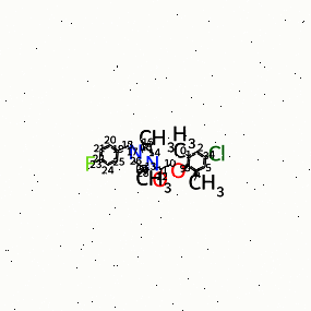 Cc1cc(Cl)cc(C)c1OCC(=O)N1C[C@@H](C)N(Cc2ccc(F)cc2)C[C@@H]1C